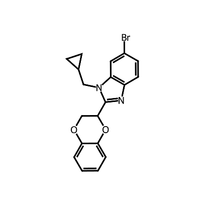 Brc1ccc2nc(C3COc4ccccc4O3)n(CC3CC3)c2c1